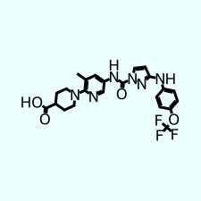 Cc1cc(NC(=O)n2ccc(Nc3ccc(OC(F)(F)F)cc3)n2)cnc1N1CCC(C(=O)O)CC1